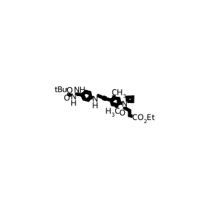 CCOC(=O)CCC(=O)N(c1cc(C)c(C#CCNc2ccc(C(=N)NC(=O)OC(C)(C)C)cc2)cc1C)C1CCC1